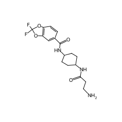 NCCC(=O)NC1CCC(NC(=O)c2ccc3c(c2)OC(F)(F)O3)CC1